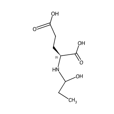 CCC(O)N[C@@H](CCC(=O)O)C(=O)O